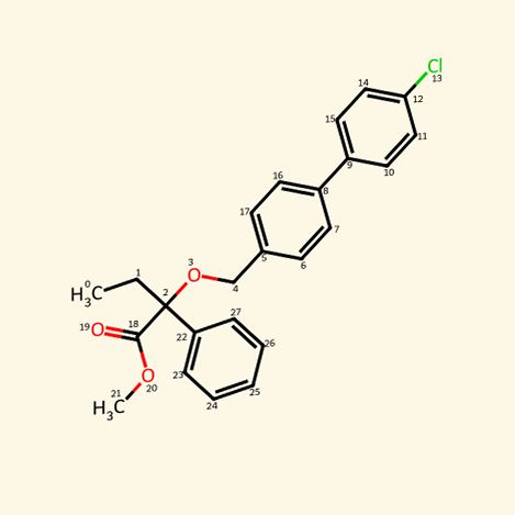 CCC(OCc1ccc(-c2ccc(Cl)cc2)cc1)(C(=O)OC)c1ccccc1